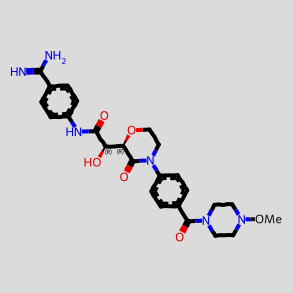 CON1CCN(C(=O)c2ccc(N3CCO[C@H]([C@@H](O)C(=O)Nc4ccc(C(=N)N)cc4)C3=O)cc2)CC1